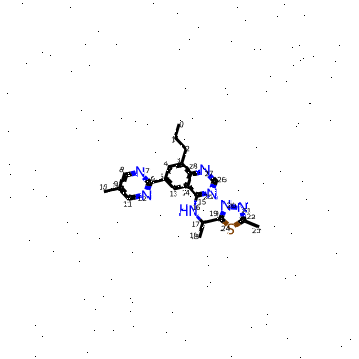 CCCc1cc(-c2ncc(C)cn2)cc2c(NC(C)c3nnc(C)s3)ncnc12